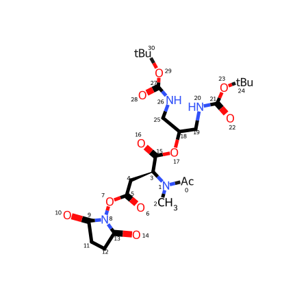 CC(=O)N(C)[C@@H](CC(=O)ON1C(=O)CCC1=O)C(=O)OC(CNC(=O)OC(C)(C)C)CNC(=O)OC(C)(C)C